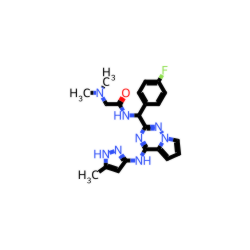 Cc1cc(Nc2nc(C(NC(=O)CN(C)C)c3ccc(F)cc3)nn3cccc23)n[nH]1